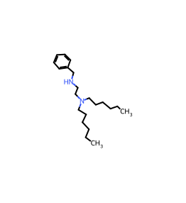 CCCCCCN(CCCCCC)CCNCc1ccccc1